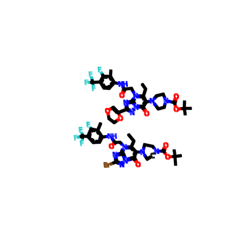 CCc1c(N2CCN(C(=O)OC(C)(C)C)CC2)c(=O)n2nc(Br)nc2n1CC(=O)Nc1ccc(C(F)(F)F)c(F)c1C.CCc1c(N2CCN(C(=O)OC(C)(C)C)CC2)c(=O)n2nc(C3=COCCO3)nc2n1CC(=O)Nc1ccc(C(F)(F)F)c(F)c1C